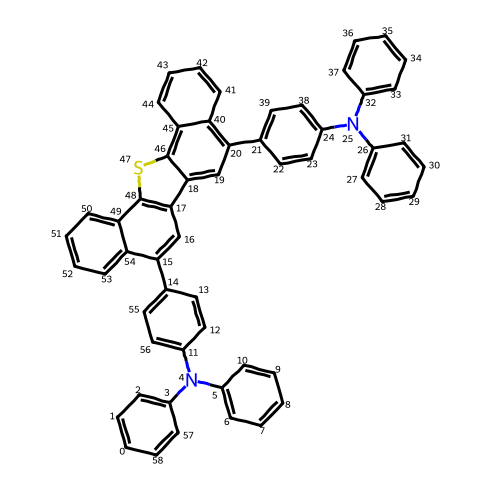 c1ccc(N(c2ccccc2)c2ccc(-c3cc4c5cc(-c6ccc(N(c7ccccc7)c7ccccc7)cc6)c6ccccc6c5sc4c4ccccc34)cc2)cc1